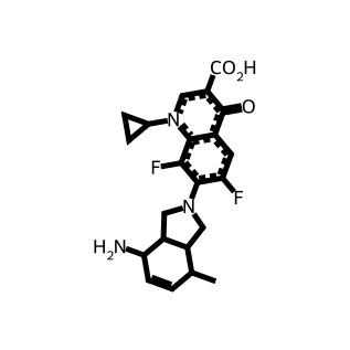 CC1C=CC(N)C2CN(c3c(F)cc4c(=O)c(C(=O)O)cn(C5CC5)c4c3F)CC12